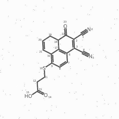 N#CC1=C(C#N)c2ccc(SCCC(=O)O)c3c2C(CC=C3)C1=O